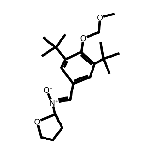 COCOc1c(C(C)(C)C)cc(C=[N+]([O-])C2CCCO2)cc1C(C)(C)C